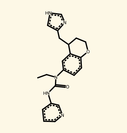 CCN(C(=O)Nc1cccnc1)c1ccc2c(c1)C(Cc1c[nH]cn1)CCO2